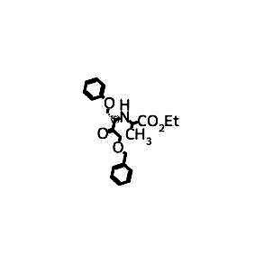 CCOC(=O)C(C)N[C@@H](COc1ccccc1)C(=O)COCc1ccccc1